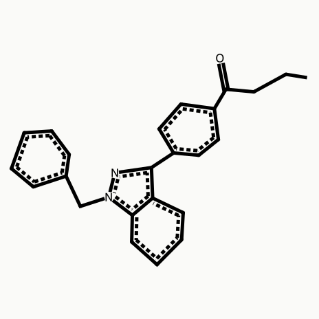 CCCC(=O)c1ccc(-c2nn(Cc3ccccc3)c3ccccc23)cc1